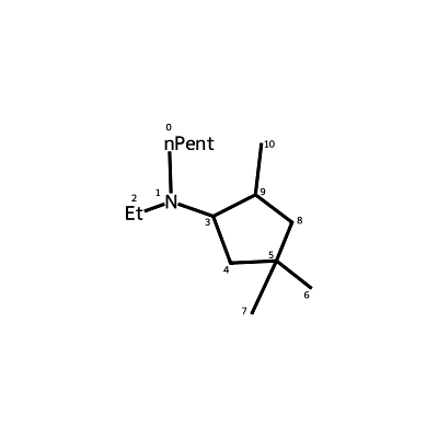 CCCCCN(CC)C1CC(C)(C)CC1C